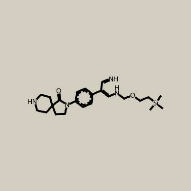 C[Si](C)(C)CCOCN/C=C(\C=N)c1ccc(N2CCC3(CCNCC3)C2=O)cc1